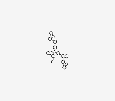 CCCc1ccc2c(N(c3ccc(-c4cccc(-c5cccc6c5oc5ccccc56)c4)cc3)c3ccc(-c4cc(-c5ccc6c(c5)oc5ccccc56)c5ccccc5c4)cc3)cc3ccccc3c2c1